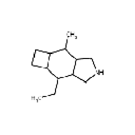 CCC1C2CCC2C(C)C2CNCC21